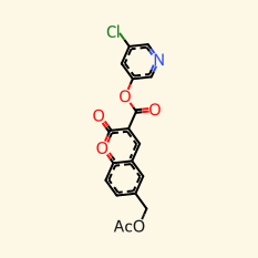 CC(=O)OCc1ccc2oc(=O)c(C(=O)Oc3cncc(Cl)c3)cc2c1